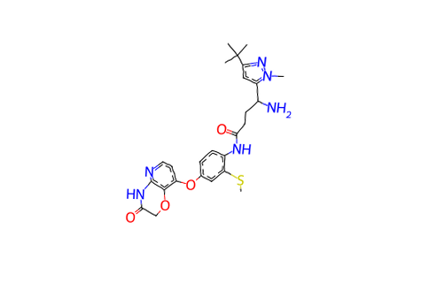 CSc1cc(Oc2ccnc3c2OCC(=O)N3)ccc1NC(=O)CCC(N)c1cc(C(C)(C)C)nn1C